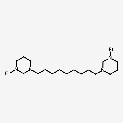 CCN1CCCN(CCCCCCCCCN2CCCN(CC)C2)C1